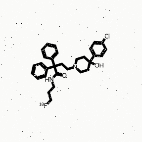 O=C(NCCC[18F])C(CCN1CCC(O)(c2ccc(Cl)cc2)CC1)(c1ccccc1)c1ccccc1